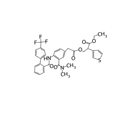 CCOC(=O)C(COC(=O)Cc1ccc(NC(=O)c2ccccc2-c2ccc(C(F)(F)F)cc2)c(C(=O)N(C)C)c1)c1ccsc1